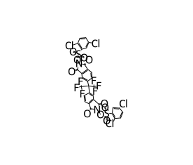 O=C1c2ccc(C(c3ccc4c(c3)C(=O)N(OS(=O)(=O)c3cc(Cl)ccc3Cl)C4=O)(C(F)(F)F)C(F)(F)F)cc2C(=O)N1OS(=O)(=O)c1cc(Cl)ccc1Cl